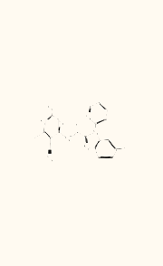 Cc1nc(N)nc(N[C@@H](C)c2nc3ccc(F)cc3n2-c2ccccn2)c1C#N